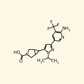 CC(C)n1nc(-c2cnc(N)c(C(F)(F)F)c2)cc1C1C2CN(C(=O)O)CC21